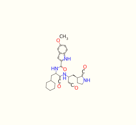 COc1ccc2[nH]c(C(=O)NC(CC3CCCCC3)C(=C=O)NC(C=C=O)C[C@@H]3CCNC3=C=O)cc2c1